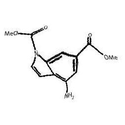 COC(=O)c1cc(N)c2ccn(C(=O)OC)c2c1